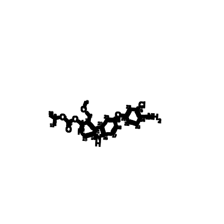 COCc1c(OC(=O)OC(C)C)ncc2[nH]c3ccc(Oc4ccc(N)c(Cl)c4)cc3c12